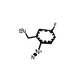 CC(C)(C)Cc1cc(F)ccc1[N+]#N